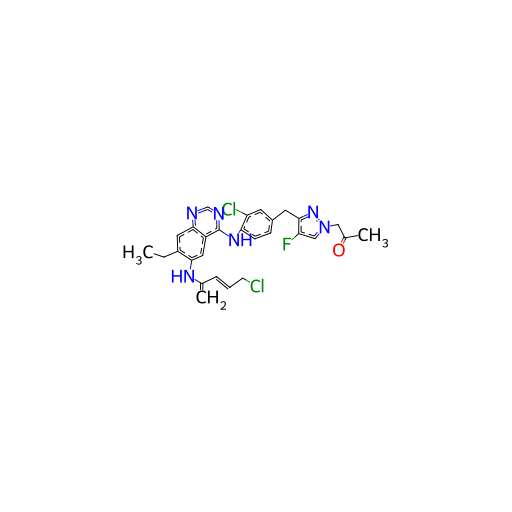 C=C(/C=C/CCl)Nc1cc2c(Nc3ccc(Cc4nn(CC(C)=O)cc4F)cc3Cl)ncnc2cc1CC